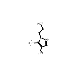 Cc1c(C(C)C)cnn1CCC#N